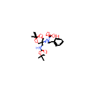 CC(C)(C)OC(=O)NCC1(N(Cc2ccccc2)C(=O)O)COC(C)(C)OC1